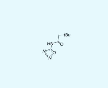 CC(C)(C)CC(=O)Nc1ncno1